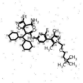 CCc1noc(C(C(=O)Nc2ccc(-c3c(C)nn(COCC[Si](C)(C)C)c3C)c(F)n2)C(C2CCCCC2)C2CCCCC2)c1C(N)=O